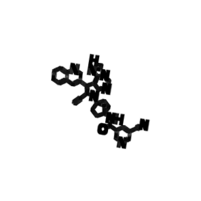 C#Cc1c(-c2cnc3ccccc3c2)c2c(N)ncnc2n1C12CCC(NC(=O)c3cncc(C#N)c3)(CC1)C2